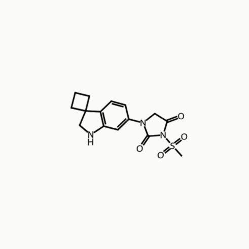 CS(=O)(=O)N1C(=O)CN(c2ccc3c(c2)NCC32CCC2)C1=O